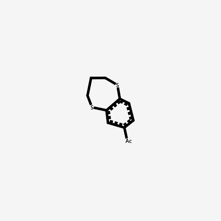 CC(=O)c1ccc2c(c1)SCCCS2